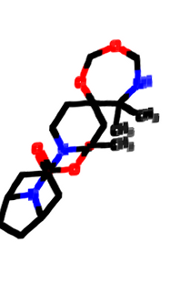 CCOC(=O)N1C2CCC1CC(N1CCC3(CC1)OCOCNC3(C)C)C2